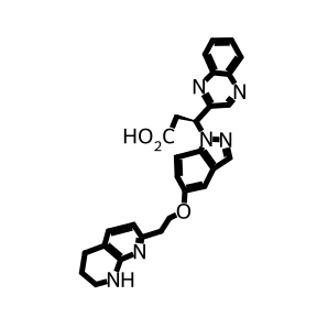 O=C(O)C[C@@H](c1cnc2ccccc2n1)n1ncc2cc(OCCc3ccc4c(n3)NCCC4)ccc21